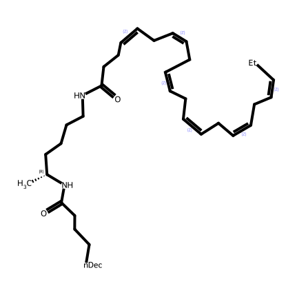 CC/C=C\C/C=C\C/C=C\C/C=C\C/C=C\C/C=C\CCC(=O)NCCCC[C@@H](C)NC(=O)CCCCCCCCCCCCC